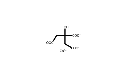 O=C([O-])CC(O)(CC(=O)[O-])C(=O)[O-].[Co+3]